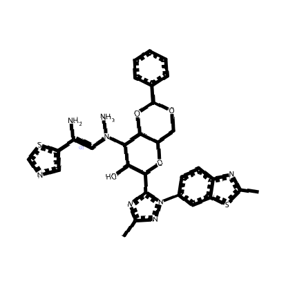 Cc1nc(C2OC3COC(c4ccccc4)OC3C(N(N)/C=C(\N)c3cncs3)C2O)n(-c2ccc3nc(C)sc3c2)n1